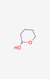 OI1CCCCO1